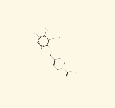 CNc1c(OCC2=CCN(C(=O)OC(C)(C)C)CC2)c(Br)cc(Br)c1[N+](=O)[O-]